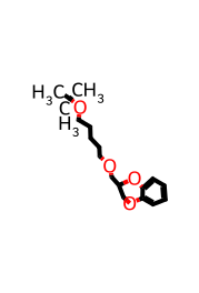 CC(C)(C)OCCCCCOCC1COc2ccccc2O1